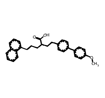 COc1ccc(-c2ccc(CCC(CCCc3cccc4ccccc34)C(=O)O)cc2)cc1